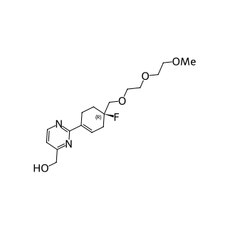 COCCOCCOC[C@]1(F)CC=C(c2nccc(CO)n2)CC1